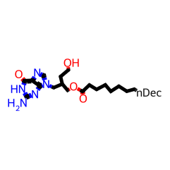 CCCCCCCCCCCCCCCCCC(=O)OCC(CCO)Cn1cnc2c(=O)[nH]c(N)nc21